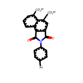 CC(=O)c1ccc(N2C(=O)c3cc(C(=O)O)c4c(C(=O)O)cccc4c3C2=O)cc1